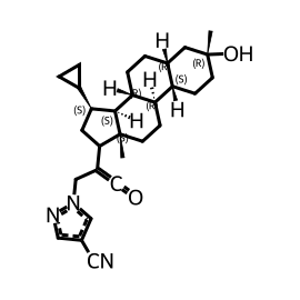 C[C@@]1(O)CC[C@H]2[C@H](CC[C@@H]3[C@@H]2CC[C@]2(C)C(C(=C=O)Cn4cc(C#N)cn4)C[C@@H](C4CC4)[C@@H]32)C1